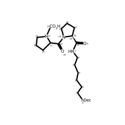 CCCCCCCCCCCCCCCCNC(=O)[C@@H]1CCCN1C(=O)C1CCCN1C(=O)O